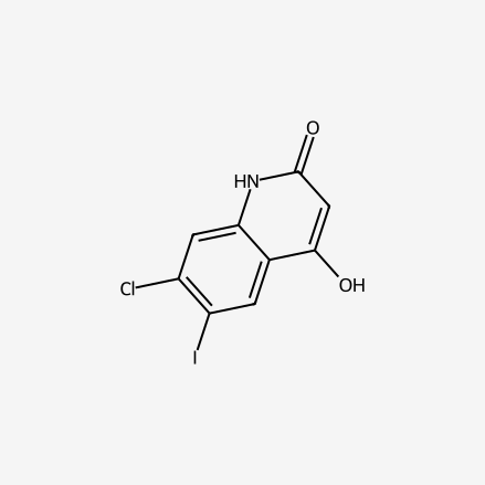 O=c1cc(O)c2cc(I)c(Cl)cc2[nH]1